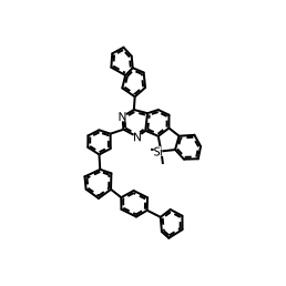 C[Si]1(C)c2ccccc2-c2ccc3c(-c4ccc5ccccc5c4)nc(-c4cccc(-c5cccc(-c6ccc(-c7ccccc7)cc6)c5)c4)nc3c21